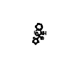 O=S(=O)(Nc1ccccc1F)c1cccs1